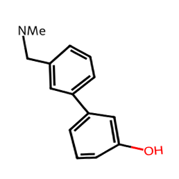 CNCc1cccc(-c2cccc(O)c2)c1